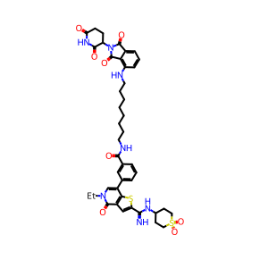 CCn1cc(-c2cccc(C(=O)NCCCCCCCCNc3cccc4c3C(=O)N(C3CCC(=O)NC3=O)C4=O)c2)c2sc(C(=N)NC3CCS(=O)(=O)CC3)cc2c1=O